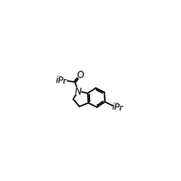 CC(C)C(=O)N1CCc2cc(C(C)C)ccc21